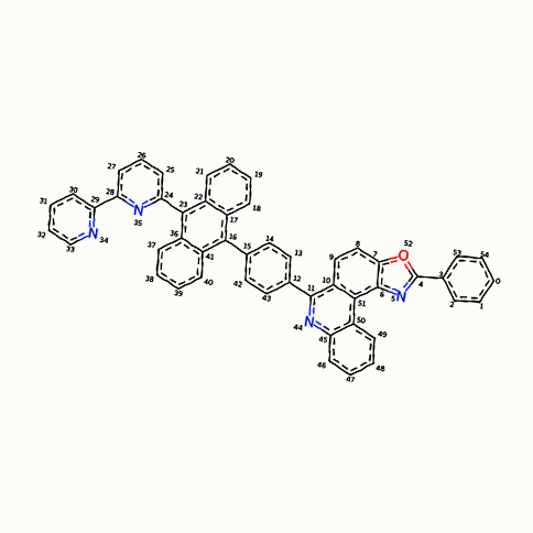 c1ccc(-c2nc3c(ccc4c(-c5ccc(-c6c7ccccc7c(-c7cccc(-c8ccccn8)n7)c7ccccc67)cc5)nc5ccccc5c43)o2)cc1